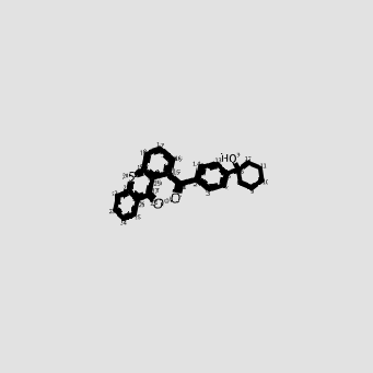 O=C(c1ccc(C2(O)CCCCC2)cc1)c1cccc2sc3ccccc3c(=O)c12